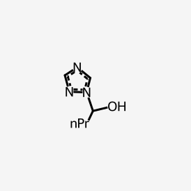 CCCC(O)n1cncn1